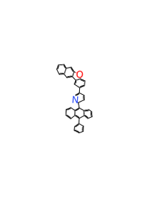 c1ccc(-c2c3ccccc3c(-c3ccc(-c4ccc5oc6cc7ccccc7cc6c5c4)cn3)c3ccccc23)cc1